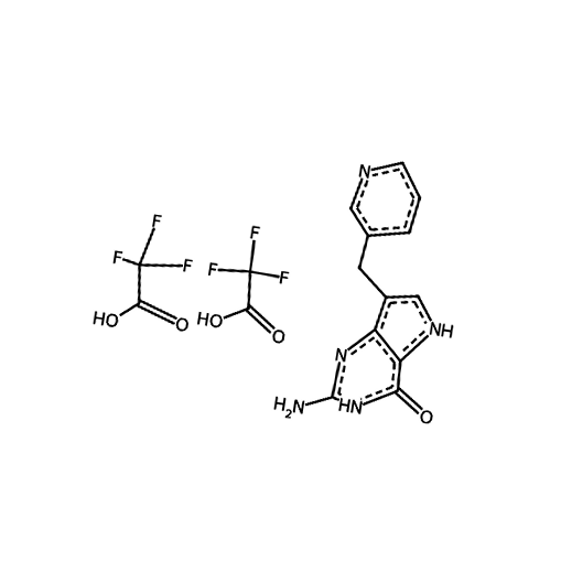 Nc1nc2c(Cc3cccnc3)c[nH]c2c(=O)[nH]1.O=C(O)C(F)(F)F.O=C(O)C(F)(F)F